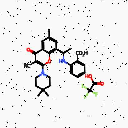 Cc1cc(C(C)Nc2ccccc2C(=O)O)c2oc(N3CCC(C)(C)CC3)c(C#N)c(=O)c2c1.O=C(O)C(F)(F)F